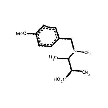 COc1ccc(CN(C)C(C)C(C)C(=O)O)cc1